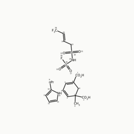 CC1(C(=O)O)C=CC=C(C(=O)O)C1.CCCc1ccc[nH]1.O=S(=O)(F)NS(=O)(=O)CC=CC(F)(F)F